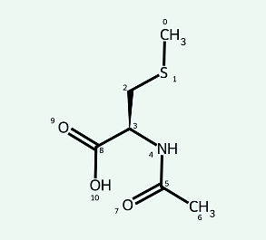 CSC[C@@H](NC(C)=O)C(=O)O